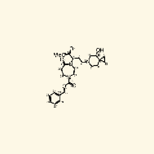 COC(=O)[C@@H](CCN1CCC2(CC2)[C@H](O)C1)N1CCN(C(=O)OCc2ccccc2)CCC1=O